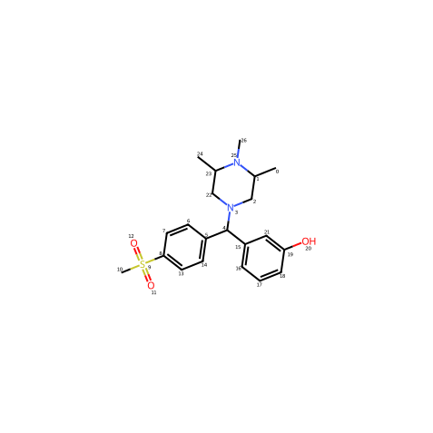 CC1CN(C(c2ccc(S(C)(=O)=O)cc2)c2cccc(O)c2)CC(C)N1C